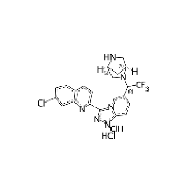 Cl.Cl.FC(F)(F)[C@@H](c1ccc2nnc(-c3ccc4ccc(Cl)cc4n3)n2c1)N1C[C@@H]2C[C@H]1CN2